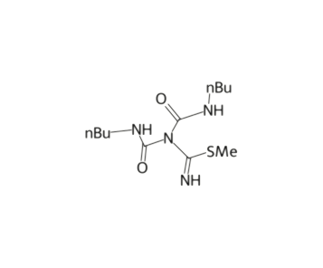 CCCCNC(=O)N(C(=N)SC)C(=O)NCCCC